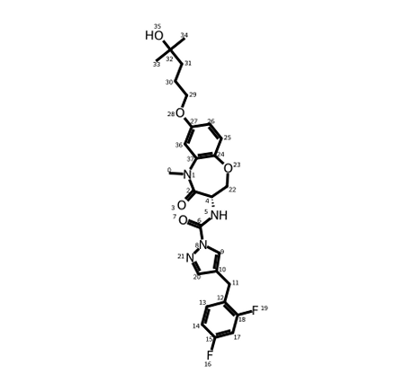 CN1C(=O)[C@@H](NC(=O)n2cc(Cc3ccc(F)cc3F)cn2)COc2ccc(OCCCC(C)(C)O)cc21